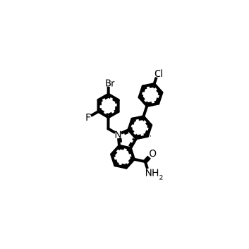 NC(=O)c1cccc2c1c1[c]cc(-c3ccc(Cl)cc3)cc1n2Cc1ccc(Br)cc1F